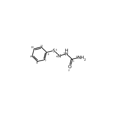 NC(=O)N[N]Sc1ccccc1